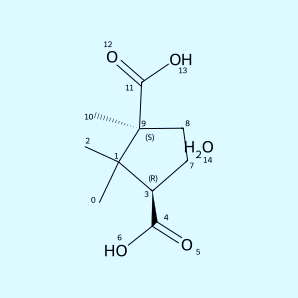 CC1(C)[C@H](C(=O)O)CC[C@]1(C)C(=O)O.O